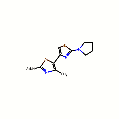 CC(=O)Nc1nc(C)c(-c2csc(N3CCCC3)n2)s1